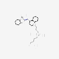 CN1/C(=C/c2cc[n+](CCC[N+](C)(C)CCCCC(=O)O)c3ccccc23)Sc2ccccc21